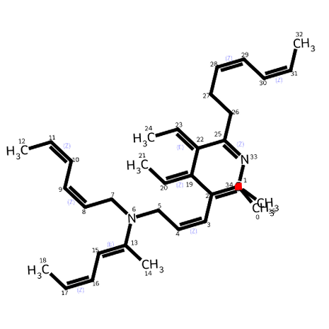 CC=C(/C=C\CN(C/C=C\C=C/C)/C(C)=C/C=C\C)C(=C/C)/C(=C\C)C(/CC/C=C\C=C/C)=N\SC